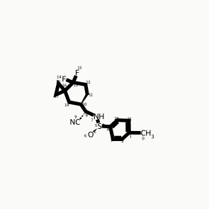 Cc1ccc([S@+]([O-])N[C@H](C#N)[C@@H]2CCC(F)(F)C3(CC3)C2)cc1